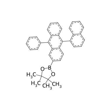 CC1(C)OB(c2ccc3c(-c4cccc5ccccc45)c4ccccc4c(-c4ccccc4)c3c2)OC1(C)C